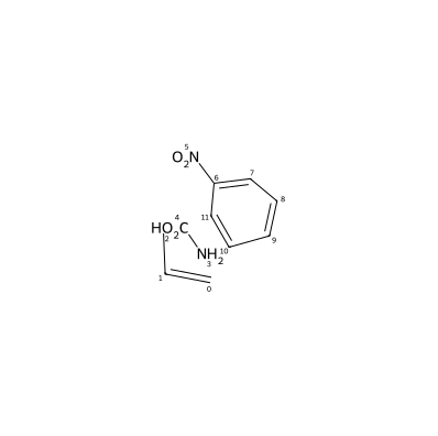 C=CC.NC(=O)O.O=[N+]([O-])c1ccccc1